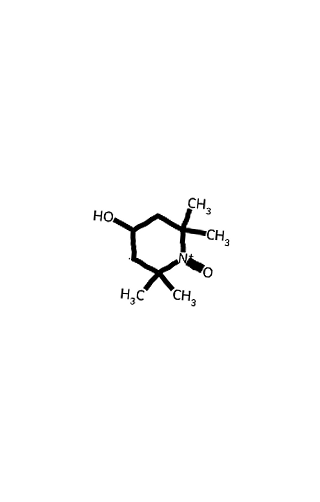 CC1(C)[CH]C(O)CC(C)(C)[N+]1=O